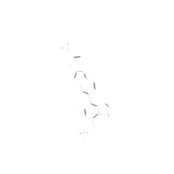 O=C(Nc1cn2cc(-c3c(Cl)c(F)c(NC4CC4)c4[nH]ncc34)ccc2n1)[C@@H]1C[C@@H]1F